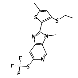 CCSc1cc(C)sc1-c1nc2cc(SC(F)(F)F)ncc2n1C